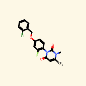 Cn1c(C(F)(F)F)cc(=O)n(-c2ccc(OCc3ccccc3Cl)cc2F)c1=O